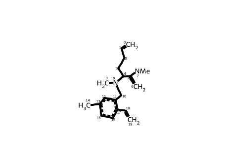 C=CCCC(C(=C)NC)N(C)Cc1cc(C)ccc1C=C